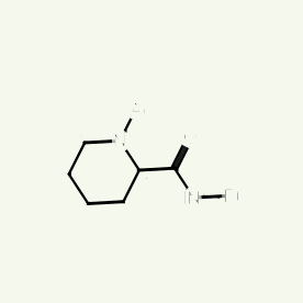 CCNC(=O)C1CCCCN1C(C)=O